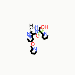 Cc1nn2ccc(OCc3ccccn3)cc2c1C(=O)NC(CO)C(F)(F)c1ccccn1